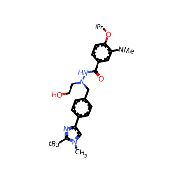 CNc1cc(C(=O)NN(CCO)Cc2ccc(-c3cn(C)c(C(C)(C)C)n3)cc2)ccc1OC(C)C